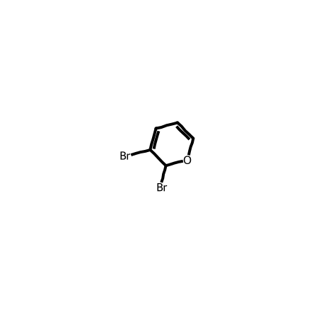 BrC1=CC=COC1Br